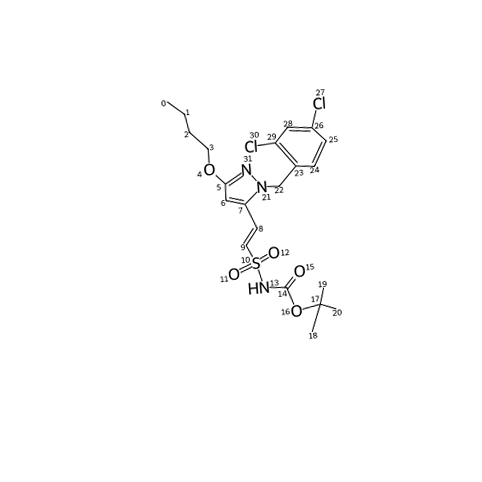 CCCCOc1cc(C=CS(=O)(=O)NC(=O)OC(C)(C)C)n(Cc2ccc(Cl)cc2Cl)n1